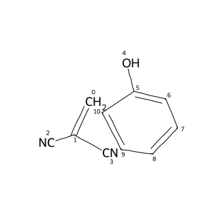 C=C(C#N)C#N.Oc1ccccc1